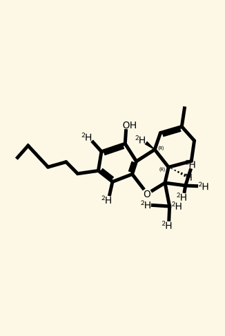 [2H]c1c(O)c2c(c([2H])c1CCCCC)OC(C([2H])([2H])[2H])(C([2H])([2H])[2H])[C@@H]1CCC(C)=C[C@@]21[2H]